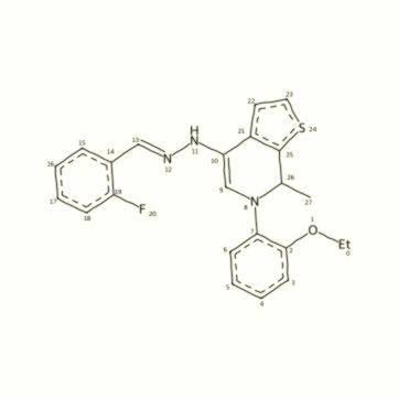 CCOc1ccccc1N1C=C(NN=Cc2ccccc2F)c2ccsc2C1C